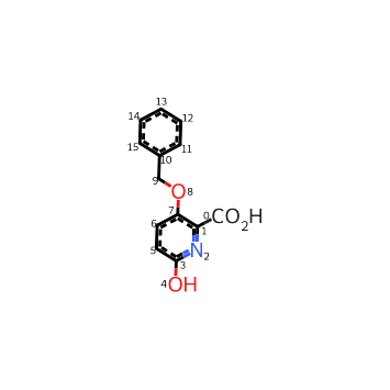 O=C(O)c1nc(O)ccc1OCc1ccccc1